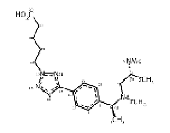 CN[C@H](C)CN(C)[C@@H](C)c1ccc(-c2nnn(CCCCC(=O)O)n2)cc1